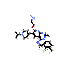 CNCCOc1nc2nc(C)nc(N[C@H](C)c3cccc(C(F)F)c3F)c2cc1C1CCN(C(C)C)CC1